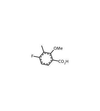 COc1c(C(=O)O)ccc(F)c1C